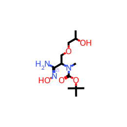 CC(O)COCC(/C(N)=N/O)N(C)C(=O)OC(C)(C)C